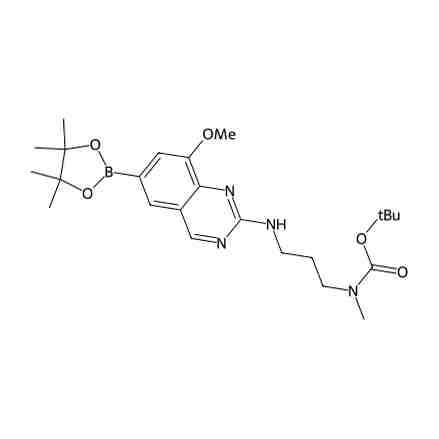 COc1cc(B2OC(C)(C)C(C)(C)O2)cc2cnc(NCCCN(C)C(=O)OC(C)(C)C)nc12